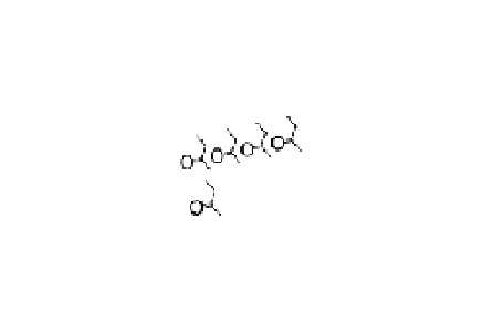 CCC(C)=O.CCC(C)=O.CCC(C)=O.CCC(C)=O.CCC(C)=O